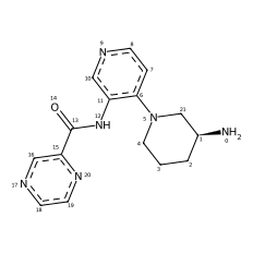 N[C@H]1CCCN(c2ccncc2NC(=O)c2cnccn2)C1